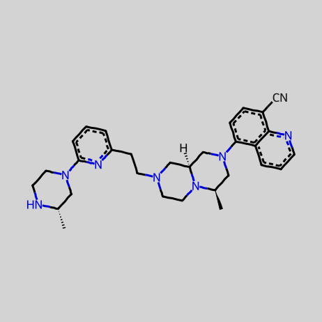 C[C@@H]1CN(c2ccc(C#N)c3ncccc23)C[C@@H]2CN(CCc3cccc(N4CCN[C@@H](C)C4)n3)CCN21